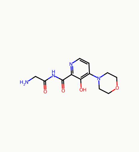 NCC(=O)NC(=O)c1nccc(N2CCOCC2)c1O